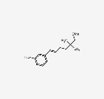 COCC(C)(C)CC/C=C/c1cccc(C)c1